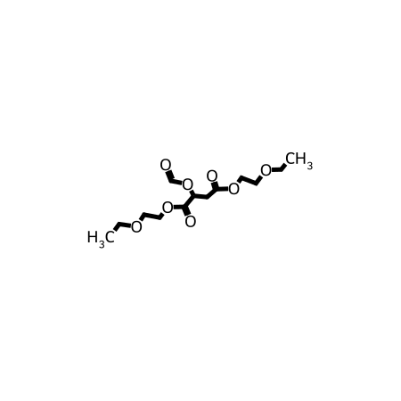 CCOCCOC(=O)CC(OC=O)C(=O)OCCOCC